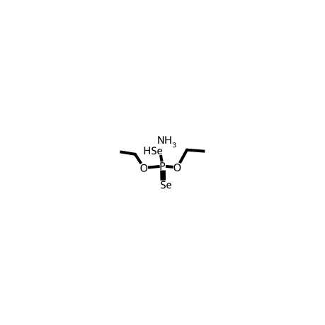 CCOP(=[Se])([SeH])OCC.N